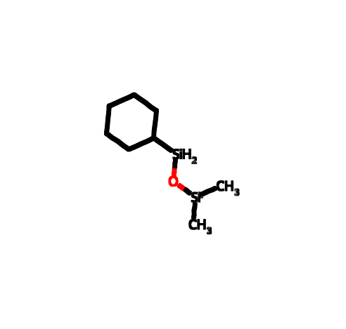 C[Si](C)O[SiH2]C1CCCCC1